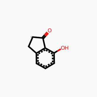 O=C1[C]Cc2cccc(O)c21